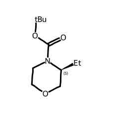 CC[C@H]1COCCN1C(=O)OC(C)(C)C